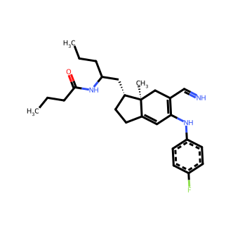 CCCC(=O)NC(CCC)C[C@H]1CCC2=CC(Nc3ccc(F)cc3)=C(C=N)C[C@@]21C